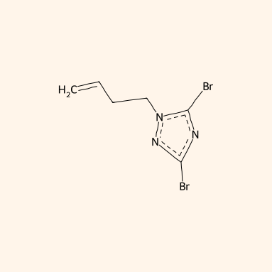 C=CCCn1nc(Br)nc1Br